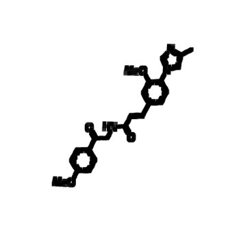 COc1ccc(C(=O)CNC(=O)/C=C/c2ccc(-n3cnc(C)c3)c(OC)c2)cc1